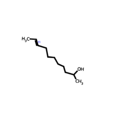 C/C=C/CCCCCCC(C)O